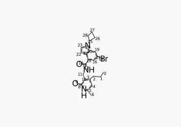 CCCc1cc(C)[nH]c(=O)c1CNC(=O)c1cc(Br)cc2c1ccn2C1CCC1